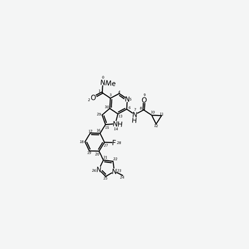 CNC(=O)c1cnc(NC(=O)C2CC2)c2[nH]c(-c3cccc(-c4cn(C)cn4)c3F)cc12